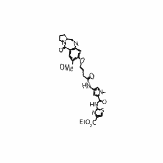 CCOC(=O)c1csc(NC(=O)c2cc(NC(=O)CCCOc3cc4c(cc3OC)C(=O)N3CCCC3C=N4)cn2C)n1